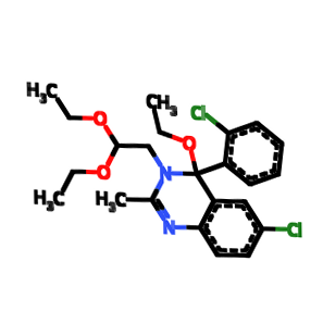 CCOC(CN1C(C)=Nc2ccc(Cl)cc2C1(OCC)c1ccccc1Cl)OCC